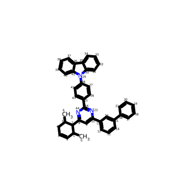 CC1C=CCC(C)C1c1cc(-c2cccc(-c3ccccc3)c2)nc(-c2ccc(-n3c4ccccc4c4ccccc43)cc2)n1